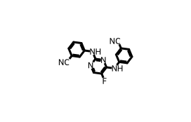 N#Cc1cccc(Nc2ncc(F)c(Nc3cccc(C#N)c3)n2)c1